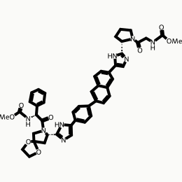 COC(=O)NCC(=O)N1CCC[C@H]1c1ncc(-c2ccc3cc(-c4ccc(-c5cnc([C@@H]6CC7(CN6C(=O)[C@H](NC(=O)OC)c6ccccc6)OCCO7)[nH]5)cc4)ccc3c2)[nH]1